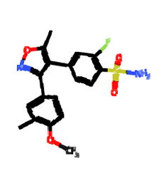 Cc1cc(-c2noc(C)c2-c2ccc(S(N)(=O)=O)c(F)c2)ccc1OC(F)(F)F